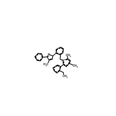 CCc1ccccc1-c1cc(C)cc(C)[n+]1Cc1ccccc1C1C=C(C)C(c2ccccc2)=N1